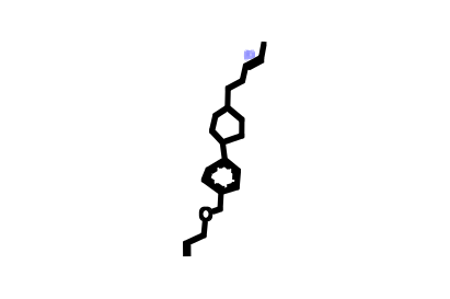 C=CCOCc1ccc(C2CCC(CC/C=C/C)CC2)cc1